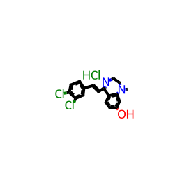 CN1CCN=C(/C=C/c2ccc(Cl)c(Cl)c2)c2ccc(O)cc21.Cl